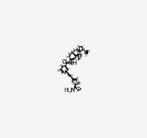 CN(C)[C@H]1CCN(Cc2ccc(NC(=O)c3ccnc(C#Cc4cnc(C(N)=O)s4)c3)cc2C(F)(F)F)C1